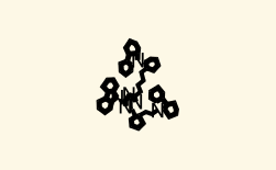 c1ccc(-c2nc(CCCCc3ccccc3-n3c4ccccc4c4ccccc43)nc(-n3c4ccccc4c4ccccc43)n2)c(CCn2c3ccccc3c3ccccc32)c1